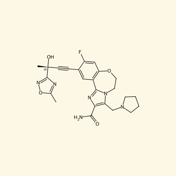 Cc1nc([C@](C)(O)C#Cc2cc3c(cc2F)OCCn2c-3nc(C(N)=O)c2CN2CCCC2)no1